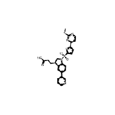 CSc1nccc(-c2ccc(S(=O)(=O)N3CC(CCC(=O)O)c4cc(-c5cccnc5)ccc43)s2)n1